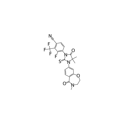 CN1CCOc2cc(N3C(=S)N(c4ccc(C#N)c(C(F)(F)F)c4F)C(=O)C3(C)C)ccc2C1=O